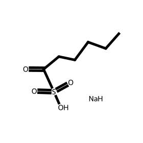 CCCCCC(=O)S(=O)(=O)O.[NaH]